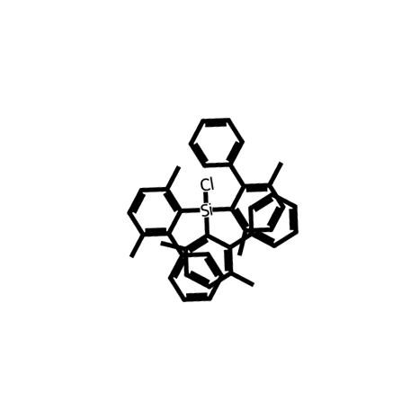 Cc1ccc(C)c([Si](Cl)(c2c(C)ccc(C)c2-c2ccccc2)c2c(C)ccc(C)c2-c2ccccc2)c1-c1ccccc1